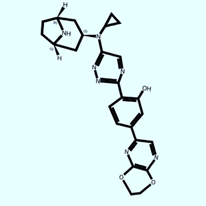 Oc1cc(-c2cnc3c(n2)OCCO3)ccc1-c1ncc(N(C2CC2)[C@@H]2C[C@H]3CC[C@@H](C2)N3)nn1